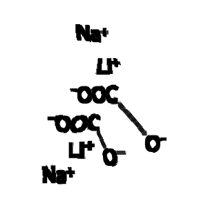 O=C([O-])[O-].O=C([O-])[O-].[Li+].[Li+].[Na+].[Na+]